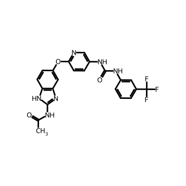 CC(=O)Nc1nc2cc(Oc3ccc(NC(=O)Nc4cccc(C(F)(F)F)c4)cn3)ccc2[nH]1